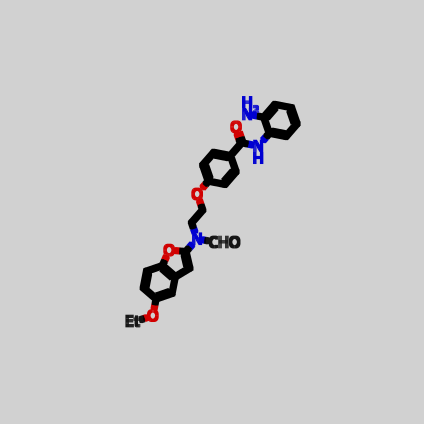 CCOc1ccc2oc(N(C=O)CCOc3ccc(C(=O)Nc4ccccc4N)cc3)cc2c1